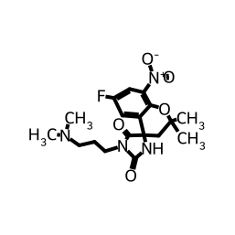 CN(C)CCCN1C(=O)NC2(CC(C)(C)Oc3c([N+](=O)[O-])cc(F)cc32)C1=O